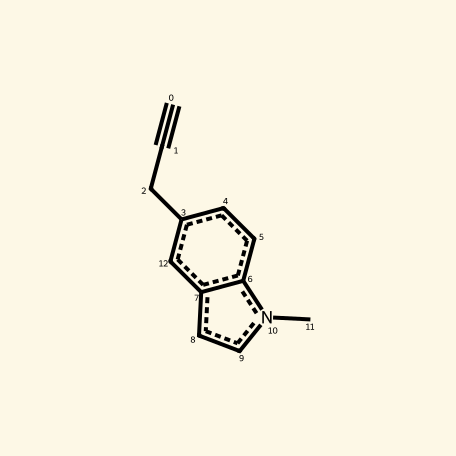 C#CCc1ccc2c(ccn2C)c1